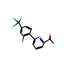 CC(=O)c1cccc(-c2ccc(C(F)(F)F)cc2F)n1